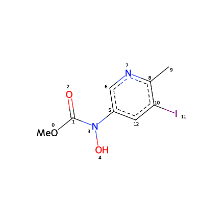 COC(=O)N(O)c1cnc(C)c(I)c1